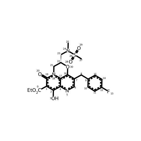 CCOC(=O)c1c(O)c2ncc(Cc3ccc(F)cc3)c3c2n(c1=O)C[C@H](CN(C)S(C)(=O)=O)O3